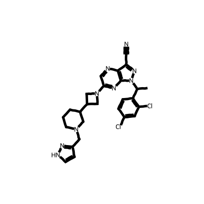 CC(c1ccc(Cl)cc1Cl)n1nc(C#N)c2ncc(N3CC(C4CCCN(Cc5cc[nH]n5)C4)C3)nc21